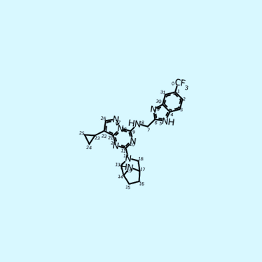 FC(F)(F)c1ccc2[nH]c(CNc3nc(N4CC5CCC(C4)N5)nc4c(C5CC5)cnn34)nc2c1